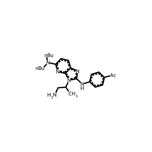 CCCCN(CCCC)c1ccc2nc(Nc3ccc(C(C)=O)cc3)n(C(C)CN)c2n1